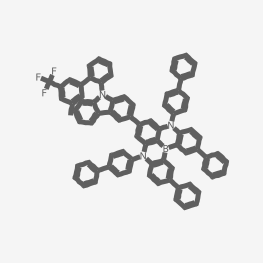 Cc1cc(-c2ccccc2-n2c3ccccc3c3cc(-c4cc5c6c(c4)N(c4ccc(-c7ccccc7)cc4)c4ccc(-c7ccccc7)cc4B6c4cc(-c6ccccc6)ccc4N5c4ccc(-c5ccccc5)cc4)ccc32)cc(C(F)(F)F)c1